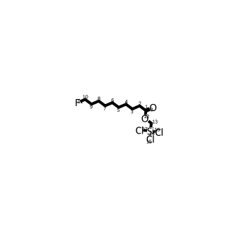 O=C(CCCCCCCCCF)OC[Si](Cl)(Cl)Cl